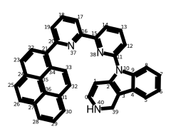 C1=Cc2c(c3ccccc3n2-c2cccc(-c3cccc(-c4ccc5ccc6cccc7ccc4c5c67)n3)n2)CN1